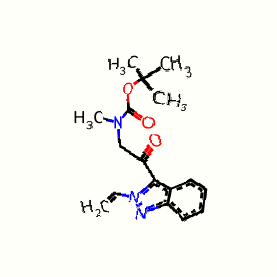 C=Cn1nc2ccccc2c1C(=O)CN(C)C(=O)OC(C)(C)C